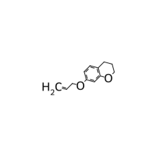 C=CCOc1ccc2c(c1)OCCC2